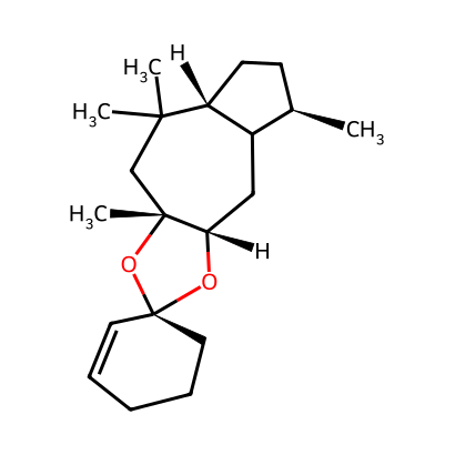 C[C@@H]1CC[C@@H]2C1C[C@@H]1O[C@]3(C=CCCC3)O[C@]1(C)CC2(C)C